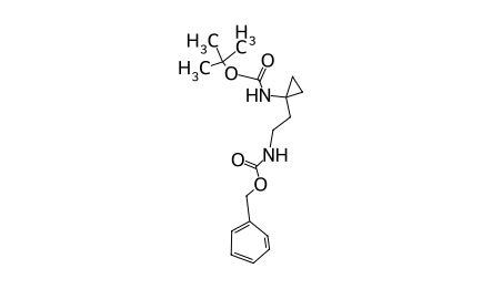 CC(C)(C)OC(=O)NC1(CCNC(=O)OCc2ccccc2)CC1